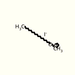 CCCCCCCCCCCCCCCCCCOCC[N+]1(C)CCCC1.[I-]